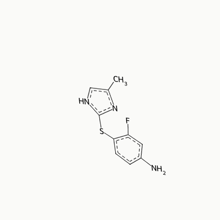 Cc1c[nH]c(Sc2ccc(N)cc2F)n1